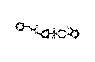 O=C(NCc1cccnc1)Nc1ccc(S(=O)(=O)N2CCN(c3ncccc3Cl)CC2)cc1